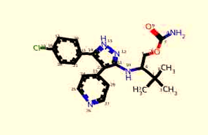 CC(C)(C)C(COC(N)=O)Nc1n[nH]c(-c2ccc(Cl)cc2)c1-c1ccncc1